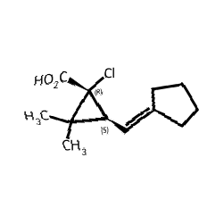 CC1(C)[C@H](C=C2CCCC2)[C@]1(Cl)C(=O)O